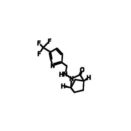 O=C1[C@@H]2CC[C@@H](C2)N1NCc1ccc(C(F)(F)F)cn1